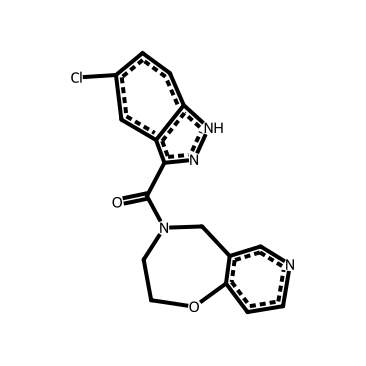 O=C(c1n[nH]c2ccc(Cl)cc12)N1CCOc2ccncc2C1